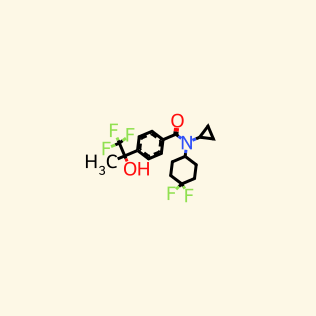 CC(O)(c1ccc(C(=O)N(C2CC2)C2CCC(F)(F)CC2)cc1)C(F)(F)F